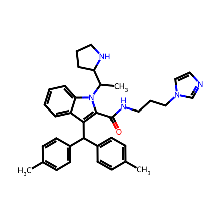 Cc1ccc(C(c2ccc(C)cc2)c2c(C(=O)NCCCn3ccnc3)n(C(C)C3CCCN3)c3ccccc23)cc1